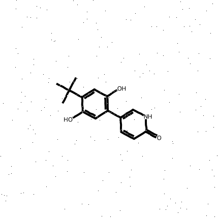 CC(C)(C)c1cc(O)c(-c2ccc(=O)[nH]c2)cc1O